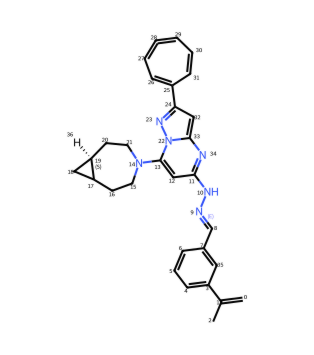 C=C(C)c1cccc(/C=N/Nc2cc(N3CCC4C[C@H]4CC3)n3nc(C4=CC=C=CC=C4)cc3n2)c1